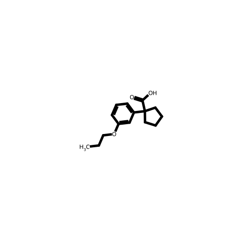 CCCOc1cccc(C2(C(=O)O)CCCC2)c1